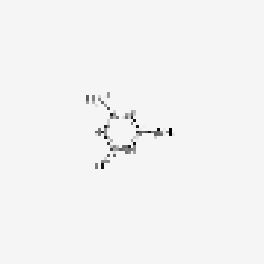 Cc1cc(N)nc(Cl)n1